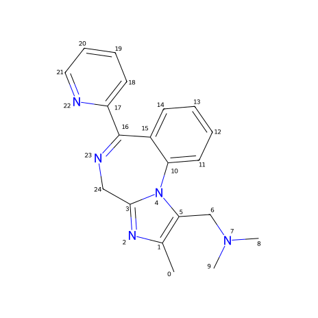 Cc1nc2n(c1CN(C)C)-c1ccccc1C(c1ccccn1)=NC2